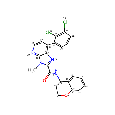 Cn1c(C(=O)NC2CCOc3ccccc32)nc2c(-c3cccc(Cl)c3Cl)ccnc21